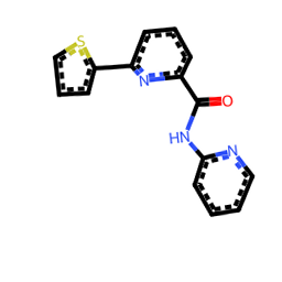 O=C(Nc1ccccn1)c1cccc(-c2cccs2)n1